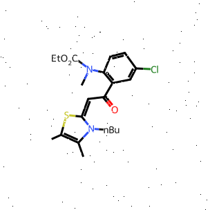 CCCCN1C(=CC(=O)c2cc(Cl)ccc2N(C)C(=O)OCC)SC(C)=C1C